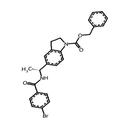 C[C@@H](NC(=O)c1ccc(Br)cc1)c1ccc2c(c1)CCN2C(=O)OCc1ccccc1